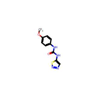 O=C(Nc1ccc(OC(F)(F)F)cc1)Nc1cnns1